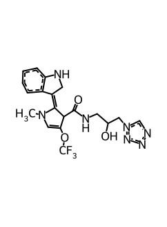 CN1C=C(OC(F)(F)F)C(C(=O)NCC(O)Cn2cnnn2)C1=C1CNc2ccccc21